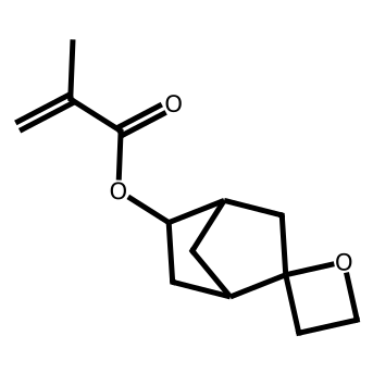 C=C(C)C(=O)OC1CC2CC1CC21CCO1